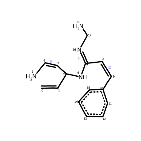 C=CC(/C=C\N)NC(/C=C\c1ccccc1)=N/CN